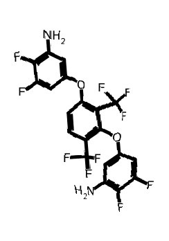 Nc1cc(Oc2ccc(C(F)(F)F)c(Oc3cc(N)c(F)c(F)c3)c2C(F)(F)F)cc(F)c1F